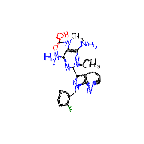 CN(C(=O)O)C1=C(N)N(C)C(c2nn(Cc3ccccc3F)c3ncccc23)N=C1N